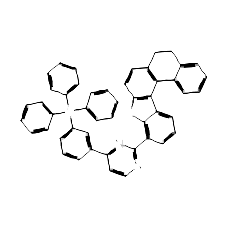 c1ccc(S(c2ccccc2)(c2ccccc2)c2cccc(-c3ccnc(-c4cccc5c4sc4ccc6c(c45)-c4ccccc4CC6)n3)c2)cc1